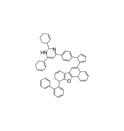 C1=CCCC(C2=CC(c3ccc(C4C=CC=C4C4=Cc5c(oc6c5C=CCC6c5ccccc5-c5ccccc5)C5C=CC=CC45)cc3)=NC(C3C=CCCC3)N2)=C1